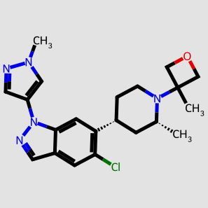 C[C@@H]1C[C@H](c2cc3c(cnn3-c3cnn(C)c3)cc2Cl)CCN1C1(C)COC1